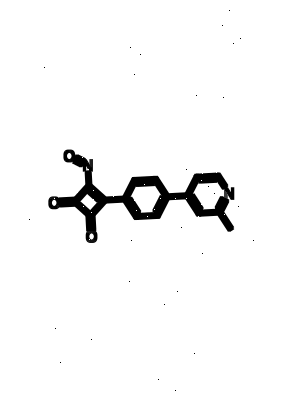 Cc1cc(-c2ccc(-c3c(N=O)c(=O)c3=O)cc2)ccn1